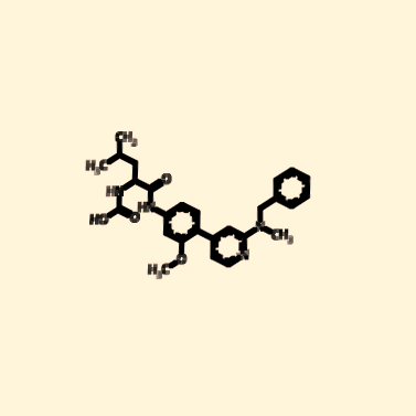 COc1cc(NC(=O)C(CC(C)C)NC(=O)O)ccc1-c1ccnc(N(C)Cc2ccccc2)c1